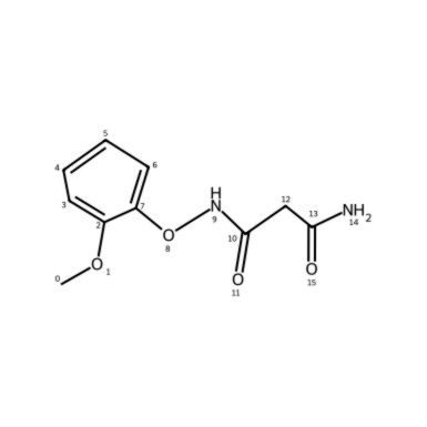 COc1ccccc1ONC(=O)CC(N)=O